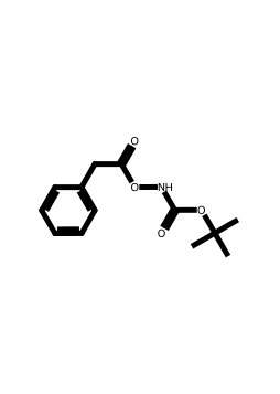 CC(C)(C)OC(=O)NOC(=O)Cc1ccccc1